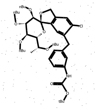 CCCCO[C@H]1[C@H](OCCCC)[C@@H](OCCCC)[C@@]2(OCc3cc(Cl)c(Cc4cccc(NC(=O)OC(C)(C)C)c4)cc32)O[C@@H]1[C@@H](C)OCCCC